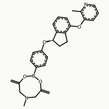 C=C1CN(C)CC(=C)OB(c2ccc(O[C@@H]3CCc4c(Oc5cccnc5C)cccc43)cc2)O1